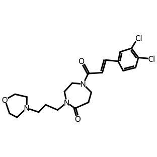 O=C(C=Cc1ccc(Cl)c(Cl)c1)N1CCC(=O)N(CCCN2CCOCC2)CC1